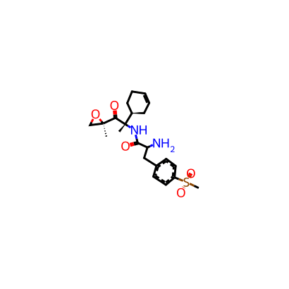 C[C@]1(C(=O)[C@@](C)(NC(=O)C(N)Cc2ccc(S(C)(=O)=O)cc2)[C@@H]2CC=CCC2)CO1